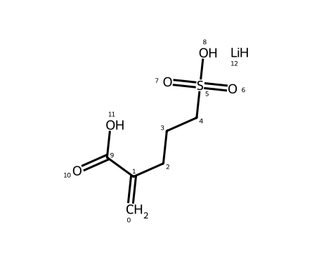 C=C(CCCS(=O)(=O)O)C(=O)O.[LiH]